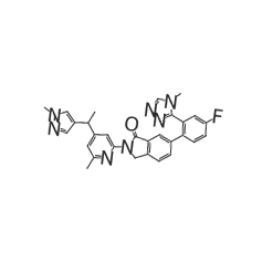 Cc1cc(C(C)c2cnn(C)c2)cc(N2Cc3ccc(-c4ccc(F)cc4-c4nncn4C)cc3C2=O)n1